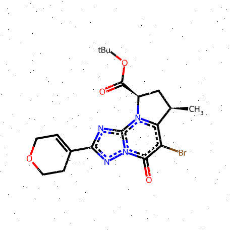 C[C@@H]1C[C@H](C(=O)OC(C)(C)C)n2c1c(Br)c(=O)n1nc(C3=CCOCC3)nc21